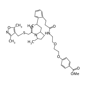 COC(=O)c1ccc(OCCOCCNC(=O)CCc2ccccc2C(C)CC2CCC(C)N2C(=O)CSCc2c(C)noc2C)cc1